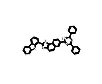 c1ccc(C2=NC(c3ccccc3)NC(c3ccc4c(ccc5nc(-c6cccc7c6sc6ccccc67)sc54)c3)=N2)cc1